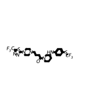 O=C(CCCN1CCN(c2nnc(C(F)(F)F)s2)CC1)N1CCC[C@H](Nc2ccc(SC(F)(F)F)cc2)C1